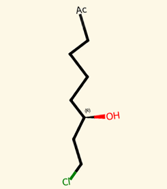 CC(=O)CCCC[C@@H](O)CCCl